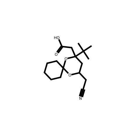 CC(C)(C)C1(CC(=O)O)CC(CC#N)OC2(CCCCC2)O1